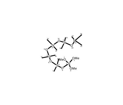 CO[Si](OC)(OC)O[Si](C)(C)O[Si](C)(C)O[Si](C)(C)O[Si](C)(C)O[Si](C)(C)C